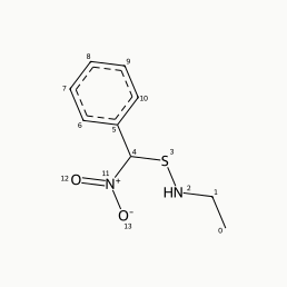 CCNSC(c1ccccc1)[N+](=O)[O-]